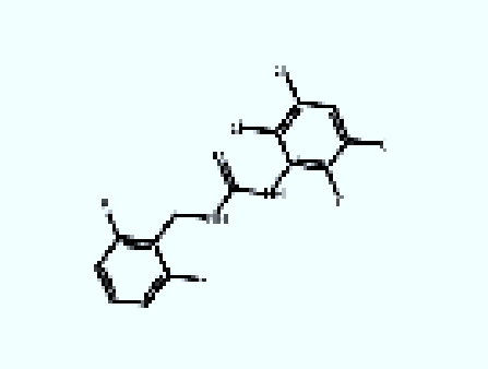 O=C(NCc1c(F)cccc1F)Nc1c(F)c(Cl)cc(Cl)c1Cl